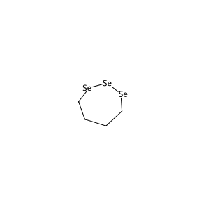 C1CC[Se][Se][Se]C1